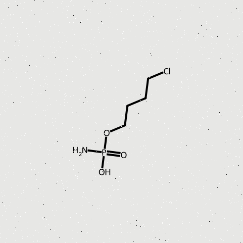 NP(=O)(O)OCCCCCl